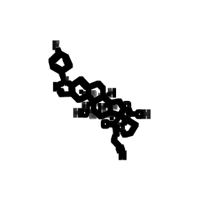 C[C@]12Cc3cnn(-c4ccc(F)cc4)c3C=C1CC[C@@H]1[C@@H]2[C@@H](O)C[C@@]2(C)[C@H]1CC[C@]2(C(=O)SCC#N)[C@@]1(C(=O)O)CCCO1